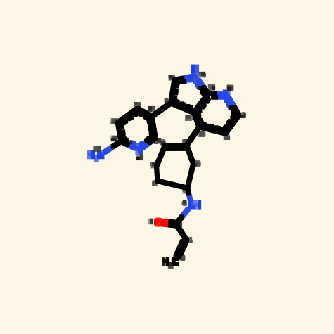 C=CC(=O)NC1CCC=C(c2ccnc3[nH]cc(-c4ccc(N)nc4)c23)C1